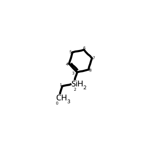 CC[SiH2]C1=CCCCC1